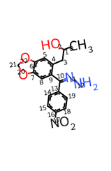 CC(O)Cc1cc2c(cc1C(=NN)c1ccc([N+](=O)[O-])cc1)OCO2